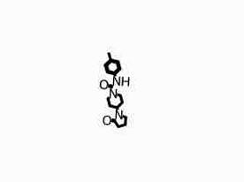 Cc1ccc(NC(=O)N2CCC(N3CCCC3=O)CC2)cc1